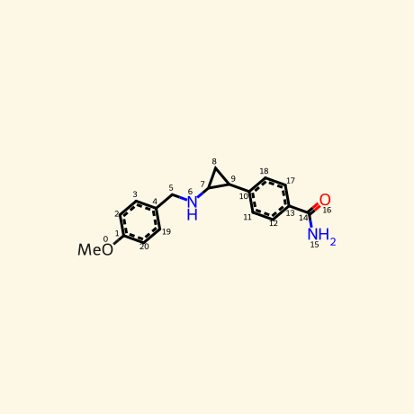 COc1ccc(CNC2CC2c2ccc(C(N)=O)cc2)cc1